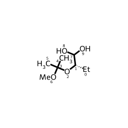 CC[C@H](OC(C)(C)OC)C(O)O